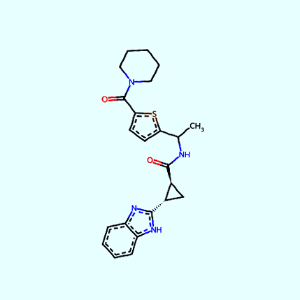 CC(NC(=O)[C@H]1C[C@@H]1c1nc2ccccc2[nH]1)c1ccc(C(=O)N2CCCCC2)s1